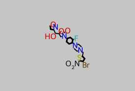 O=C1OC(C(O)c2ccon2)CN1c1ccc(N2CCN(Cc3cc(Br)c([N+](=O)[O-])s3)CC2)c(F)c1